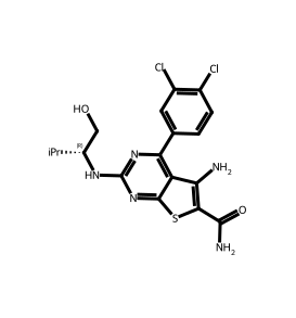 CC(C)[C@H](CO)Nc1nc(-c2ccc(Cl)c(Cl)c2)c2c(N)c(C(N)=O)sc2n1